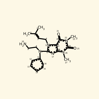 CC(C)=CCn1c(N(CCN)c2ccccc2)nc2c1c(=O)n(C)c(=O)n2C